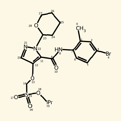 Cc1cc(Br)ccc1NC(=O)c1c(OCS(=O)(=O)OC(C)C)cnn1C1CCCCO1